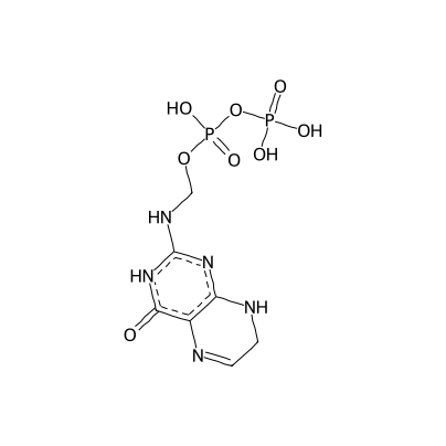 O=c1[nH]c(NCOP(=O)(O)OP(=O)(O)O)nc2c1N=CCN2